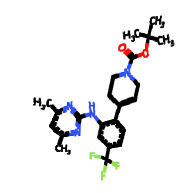 Cc1cc(C)nc(Nc2cc(C(F)(F)F)ccc2C2=CCN(C(=O)OC(C)(C)C)CC2)n1